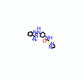 CN(C)c1nc(N[C@H]2CC[C@@H](NC(=O)CSc3ncccn3)CC2)nc2ccccc12